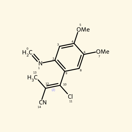 C=Nc1cc(OC)c(OC)cc1/C(Cl)=C(\C)C#N